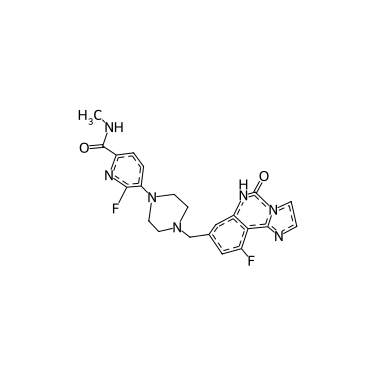 CNC(=O)c1ccc(N2CCN(Cc3cc(F)c4c(c3)[nH]c(=O)n3ccnc43)CC2)c(F)n1